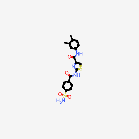 Cc1ccc(NC(=O)c2csc(NC(=O)c3ccc(S(N)(=O)=O)cc3)n2)cc1C